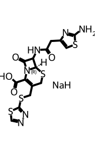 Nc1nc(CC(=O)NC2C(=O)N3C(C(=O)O)=C(CSc4nncs4)CS[C@H]23)cs1.[NaH]